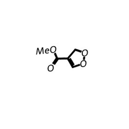 COC(=O)C1=COOC1